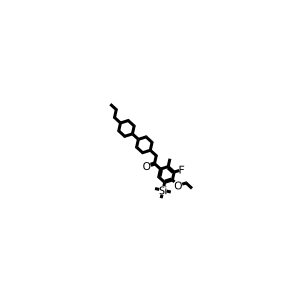 CCCC1CCC(C2CCC(CC(=O)c3cc([Si](C)(C)C)c(OCC)c(F)c3C)CC2)CC1